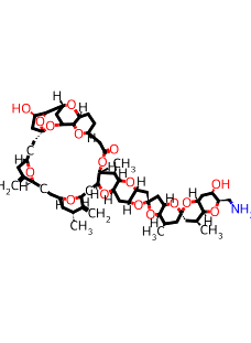 C=C1C[C@@H]2CC[C@]34C[C@@H](O)C(O3)[C@H]3CC(O4)C4O[C@H](CC[C@@H]4O3)CC(=O)O[C@@H]3[C@@H](C)[C@@H]4O[C@@H]5C[C@]6(C[C@@H]7O[C@]8(C[C@H](C)[C@@H]9O[C@H](CN)[C@H](O)C[C@@H]9O8)C[C@H](C)[C@@H]7O6)O[C@@H]5C[C@@H]4O[C@H]3C[C@H]3O[C@@H](CC[C@@H]1O2)C[C@@H](C)C3=C